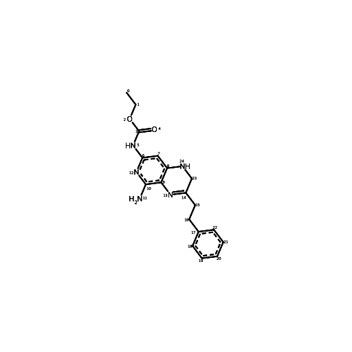 CCOC(=O)Nc1cc2c(c(N)n1)N=C(CCc1ccccc1)CN2